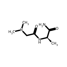 C[C@@H](NC(=O)CN(C)C)C(N)=O